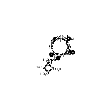 CCCCC[C@@H]1NC(=O)[C@H](Cc2ccc(CNC(=O)CN(C)C(=O)CN3CCN(CC(=O)O)CCN(CC(=O)O)CCN(CC(=O)O)CC3)cc2)NC(=O)[C@H](Cc2ccccc2)N(C)C(=O)CNC(=O)CNC(=O)[C@H]2CCCN2C(=O)[C@H](CC(=O)O)NC(=O)[C@H](Cc2ccc(O)cc2)NC(=O)CNC(=O)[C@H](Cc2c[nH]c3ccccc23)NC1=O